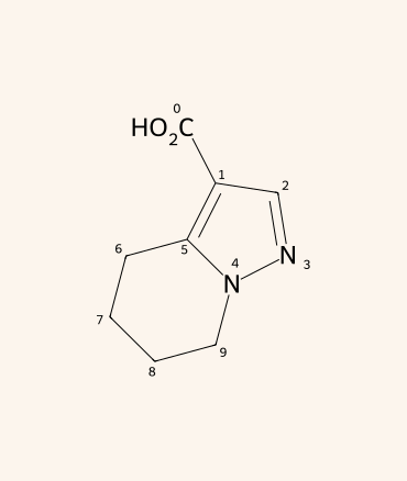 O=C(O)c1cnn2c1CCCC2